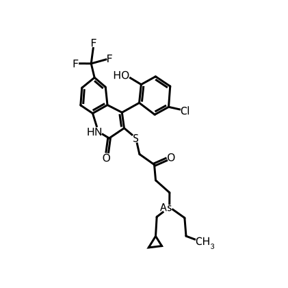 CCC[As](CCC(=O)CSc1c(-c2cc(Cl)ccc2O)c2cc(C(F)(F)F)ccc2[nH]c1=O)CC1CC1